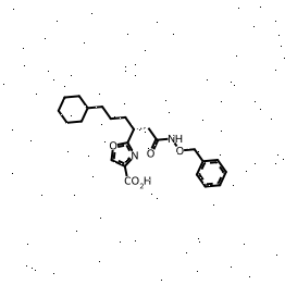 O=C(C[C@@H](CCCC1CCCCC1)c1nc(C(=O)O)co1)NOCc1ccccc1